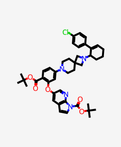 CC(C)(C)OC(=O)c1ccc(N2CCC3(CC2)CN(C2CCCC=C2c2ccc(Cl)cc2)C3)cc1Oc1cnc2c(ccn2C(=O)OC(C)(C)C)c1